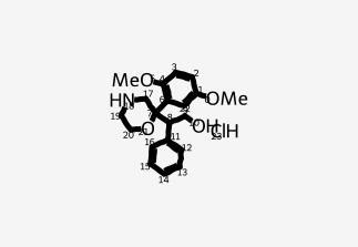 COc1ccc(OC)c(C2(C(CO)c3ccccc3)CNCCO2)c1.Cl